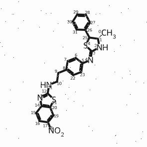 C[C@@H]1N/C(=N/c2ccc(CCNc3nc4ccc([N+](=O)[O-])cc4s3)cc2)SC1c1ccccc1